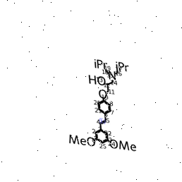 COc1cc(/C=C/c2ccc(OCC(O)CN(CC(C)C)CC(C)C)cc2)cc(OC)c1